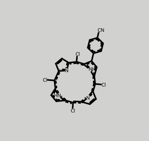 N#Cc1ccc(-c2cc3[nH]c2c(Cl)c2nc(c(Cl)c4ccc([nH]4)c(Cl)c4nc(c3Cl)C=C4)C=C2)cc1